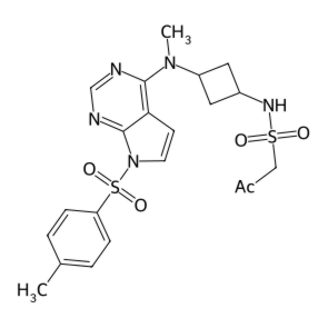 CC(=O)CS(=O)(=O)NC1CC(N(C)c2ncnc3c2ccn3S(=O)(=O)c2ccc(C)cc2)C1